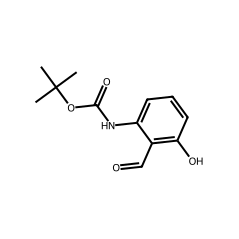 CC(C)(C)OC(=O)Nc1cccc(O)c1C=O